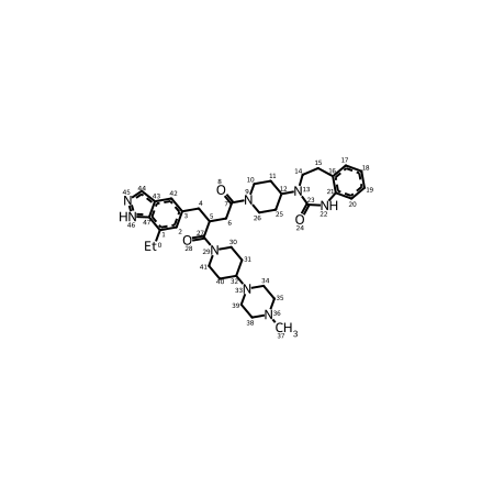 CCc1cc(CC(CC(=O)N2CCC(N3CCc4ccccc4NC3=O)CC2)C(=O)N2CCC(N3CCN(C)CC3)CC2)cc2cn[nH]c12